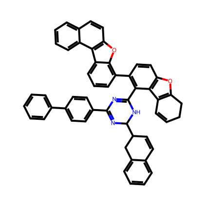 C1=Cc2c(oc3ccc(-c4cccc5c4oc4ccc6ccccc6c45)c(C4=NC(c5ccc(-c6ccccc6)cc5)=NC(C5C=Cc6ccccc6C5)N4)c23)CC1